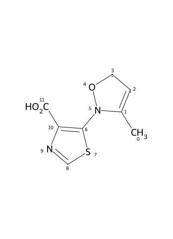 CC1=[C][CH]ON1c1scnc1C(=O)O